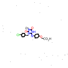 CCn1c(=O)[nH]/c(=N\c2ccc(OCC(=O)O)cc2)n(Cc2ccc(Cl)cc2)c1=O